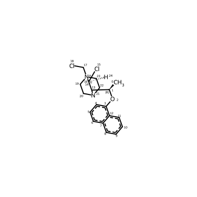 C[C@@H](Oc1cccc2ccccc12)C1[C@H](Cl)[N+]2(CCl)CCN1CC2